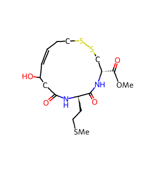 COC(=O)[C@H]1CSSCCC=CC(O)CC(=O)N[C@H](CCSC)C(=O)N1